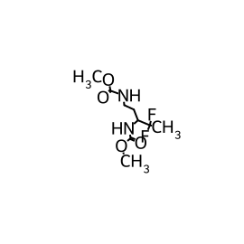 COC(=O)NCCC(NC(=O)OC)C(C)(F)F